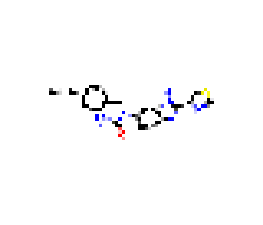 COc1ccc(CN(C(N)=O)c2ccc3nc(-c4cscn4)[nH]c3c2)cc1